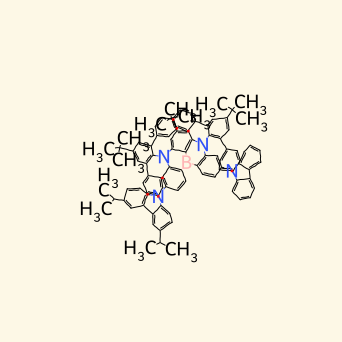 CC(C)c1ccc2c(c1)c1cc(C(C)C)ccc1n2-c1ccc2c(c1)N(c1c(-c3ccccc3)cc(C(C)(C)C)cc1-c1ccccc1)c1cc(C(C)(C)C)cc3c1B2c1ccc(-n2c4ccccc4c4ccccc42)cc1N3c1c(-c2ccccc2)cc(C(C)(C)C)cc1-c1ccccc1